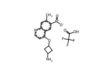 Cc1cc2nccc(OC3CC(N)C3)c2cc1[N+](=O)[O-].O=C(O)C(F)(F)F